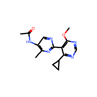 COc1ncnc(C2CC2)c1-c1ncc(NC(C)=O)c(C)n1